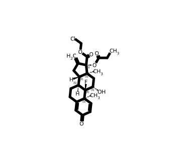 C=C1C[C@H]2[C@@H]3CCC4=CC(=O)C=C[C@]4(C)[C@@]3(F)[C@@H](O)C[C@]2(C)[C@]1(OC(=O)CC)C(=O)OCCl